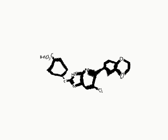 O=C(O)[C@H]1CC[C@H](Oc2nc3cc(Cl)c(-c4ccc5c(c4)OCCO5)nc3[nH]2)CC1